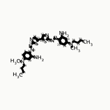 CCCCN(C)c1ccc(/N=N/c2ncc(-c3cnc(/N=N/c4ccc(N(C)CCCC)cc4N)s3)s2)c(N)c1